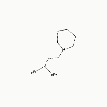 CCCC(CCC)CCN1CCCCC1